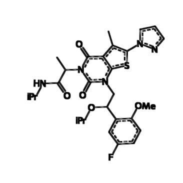 COc1ccc(F)cc1C(Cn1c(=O)n(C(C)C(=O)NC(C)C)c(=O)c2c(C)c(-n3cccn3)sc21)OC(C)C